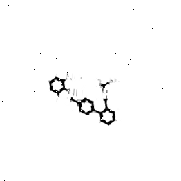 CCOC(=O)c1cccc([N+](=O)[O-])c1NCc1ccc(-c2ccccc2C#[N+]C(=O)C(C)C)cc1